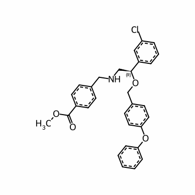 COC(=O)c1ccc(CNC[C@H](OCc2ccc(Oc3ccccc3)cc2)c2cccc(Cl)c2)cc1